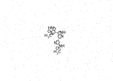 C=CC(=O)Nc1cncc(-c2cnc3[nH]cc(-c4cn(C)c(=O)c5[nH]ccc45)c3c2)c1